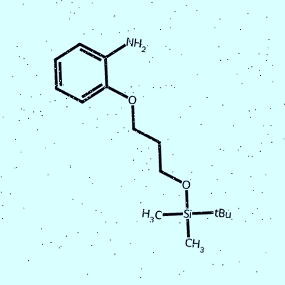 CC(C)(C)[Si](C)(C)OCCCOc1ccccc1N